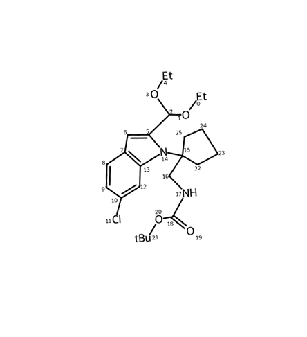 CCOC(OCC)c1cc2ccc(Cl)cc2n1C1(CNC(=O)OC(C)(C)C)CCCC1